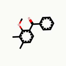 COc1c(C(=O)c2ccccc2)ccc(C)c1C